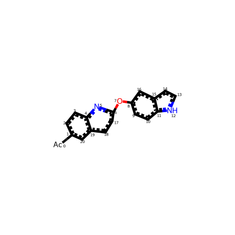 CC(=O)c1ccc2nc(Oc3ccc4[nH]ccc4c3)ccc2c1